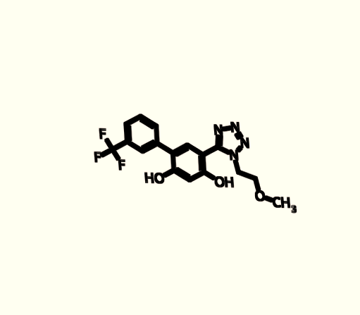 COCCn1nnnc1-c1cc(-c2cccc(C(F)(F)F)c2)c(O)cc1O